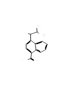 CC(C)C(C)c1ccc(C(=O)O)c2ccccc12